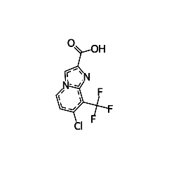 O=C(O)c1cn2ccc(Cl)c(C(F)(F)F)c2n1